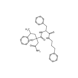 CC(CC(O)(CC(N)=O)C(=O)NC(Cc1ccccc1)C(=S)NCCCc1ccccc1)c1ccccc1